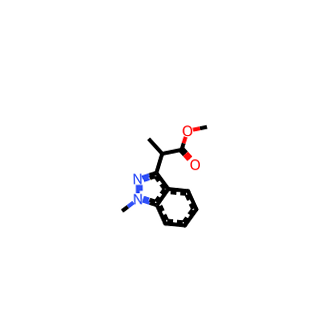 COC(=O)C(C)c1nn(C)c2ccccc12